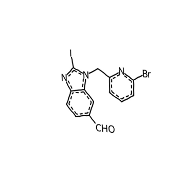 O=Cc1ccc2nc(I)n(Cc3cccc(Br)n3)c2c1